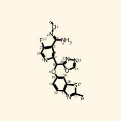 CO/N=C(\N)c1cc(C(Oc2ccc3nc(C)sc3c2)c2nnco2)ncc1F